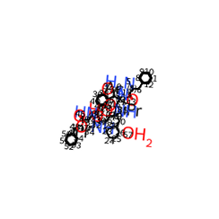 CC(=O)N(C(=O)[C@@H](N)Cc1ccccc1)[C@](CC(C)C)(C(=O)N[C@@H](CC1CCCCC1)[C@@H](O)CC(=O)NCC(C)C)C1COc2ccc(CNCC(=O)OCc3ccccc3)cc21.O